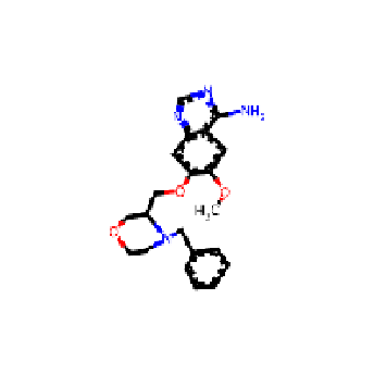 COc1cc2c(N)ncnc2cc1OCC1COCCN1Cc1ccccc1